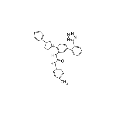 Cc1ccc(NC(=O)Nc2cc(-c3ccccc3-c3nnn[nH]3)ccc2N2CCC(c3ccccc3)C2)cc1